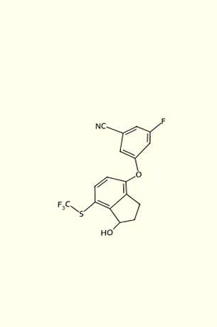 N#Cc1cc(F)cc(Oc2ccc(SC(F)(F)F)c3c2CCC3O)c1